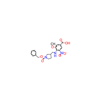 COc1cc(C(=O)O)cc([N+](=O)[O-])c1NCC1CCN(C(=O)OCc2ccccc2)C1